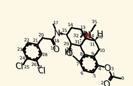 CC(=O)Oc1ccc2c3c1C[C@@H]1[C@@H]4CC[C@H](N(C)C(=O)Cc5ccc(Cl)c(Cl)c5)[C@H](O2)[C@]34CCN1C